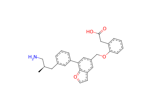 C[C@@H](CN)Cc1cccc(-c2cc(COc3ccccc3CC(=O)O)cc3ccoc23)c1